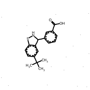 CC(C)(C)c1ccc2c(c1)C(c1cccc(C(=O)O)c1)NS2